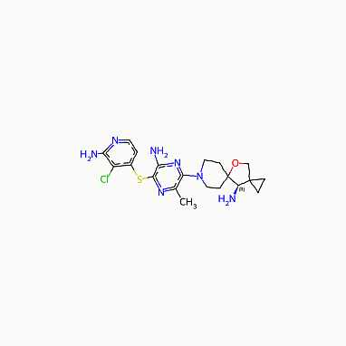 Cc1nc(Sc2ccnc(N)c2Cl)c(N)nc1N1CCC2(CC1)OCC1(CC1)[C@H]2N